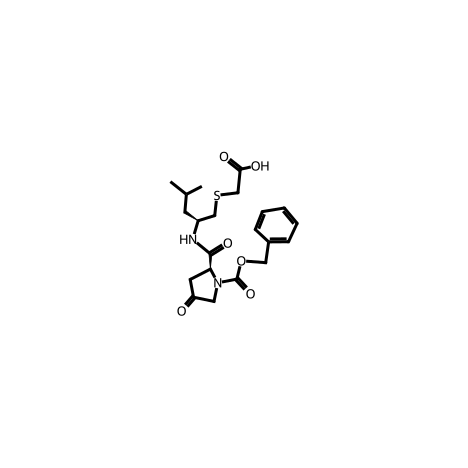 CC(C)C[C@@H](CSCC(=O)O)NC(=O)[C@@H]1CC(=O)CN1C(=O)OCc1ccccc1